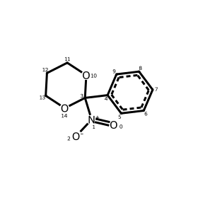 O=[N+]([O-])C1(c2ccccc2)OCCCO1